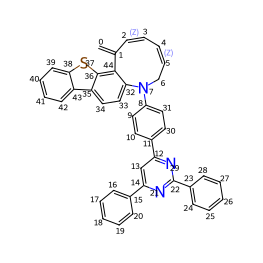 C=C1/C=C\C=C/CN(c2ccc(-c3cc(-c4ccccc4)nc(-c4ccccc4)n3)cc2)c2ccc3c(sc4ccccc43)c21